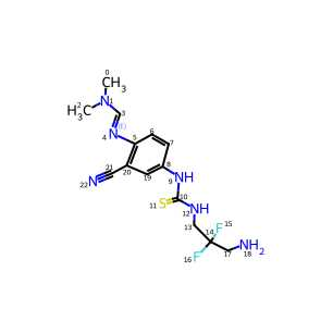 CN(C)/C=N/c1ccc(NC(=S)NCC(F)(F)CN)cc1C#N